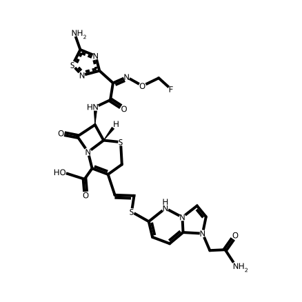 NC(=O)CN1C=CN2NC(S/C=C/C3=C(C(=O)O)N4C(=O)[C@@H](NC(=O)/C(=N\OCF)c5nsc(N)n5)[C@@H]4SC3)=CC=C12